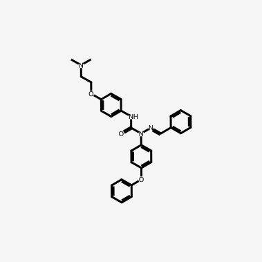 CN(C)CCOc1ccc(NC(=O)N(N=Cc2ccccc2)c2ccc(Oc3ccccc3)cc2)cc1